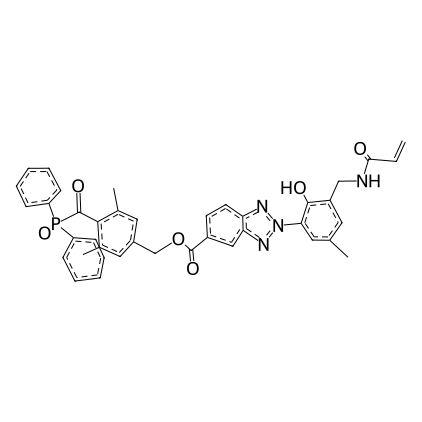 C=CC(=O)NCc1cc(C)cc(-n2nc3ccc(C(=O)OCc4cc(C)c(C(=O)P(=O)(c5ccccc5)c5ccccc5)c(C)c4)cc3n2)c1O